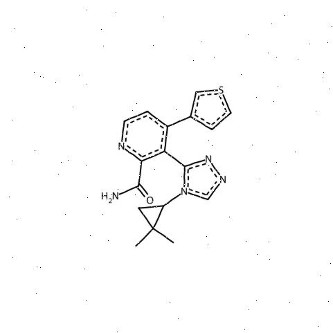 CC1(C)CC1n1cnnc1-c1c(-c2ccsc2)ccnc1C(N)=O